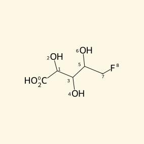 O=C(O)C(O)C(O)C(O)CF